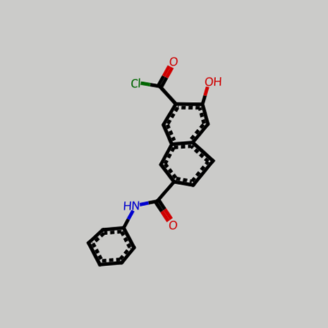 O=C(Nc1ccccc1)c1ccc2cc(O)c(C(=O)Cl)cc2c1